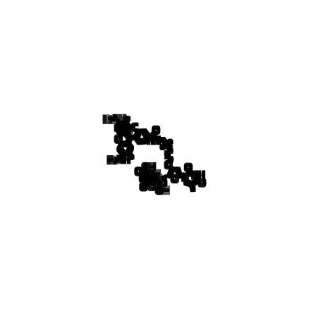 CCNc1cc2c(cc1C)C(c1ccc(C(=O)NCC(C)(C)SSCOC3C[C@H](n4cc(C)c(=O)[nH]c4=O)O[C@@H]3COP(=O)(O)OP(=O)(O)OP(=O)(O)O)cc1C(=O)O)=C1C=C(C)C(NCC)C=C1O2